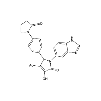 CC(=O)C1=C(O)C(=O)N(c2ccc3[nH]cnc3c2)C1c1ccc(N2CCCC2=O)cc1